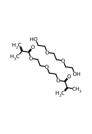 C=C(C)C(=O)OCCOCCOC(=O)C(=C)C.OCCOCCOCCO